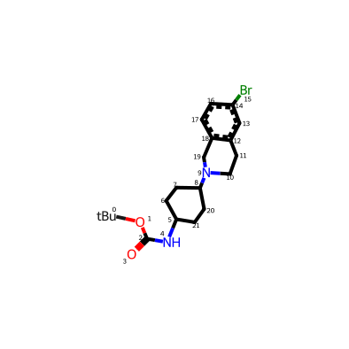 CC(C)(C)OC(=O)NC1CCC(N2CCc3cc(Br)ccc3C2)CC1